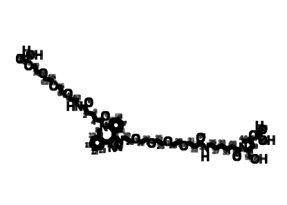 O=C(CCCC(=O)N1Cc2ccccc2-c2nnn(CCOCCOCCOCCOCCC(=O)NCCCCCC(=O)N3C[C@H](O[PH](=O)O)C[C@H]3CO)c2-c2ccccc21)NCCOCCOCCOCCO[PH](=O)O